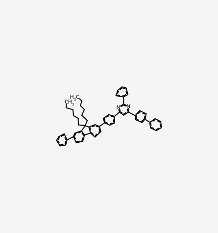 CCCCCCC1(CCCCCC)c2cc(-c3ccccc3)ccc2-c2ccc(-c3ccc(-c4cc(-c5ccc(-c6ccccc6)cc5)nc(-c5ccccc5)n4)cc3)cc21